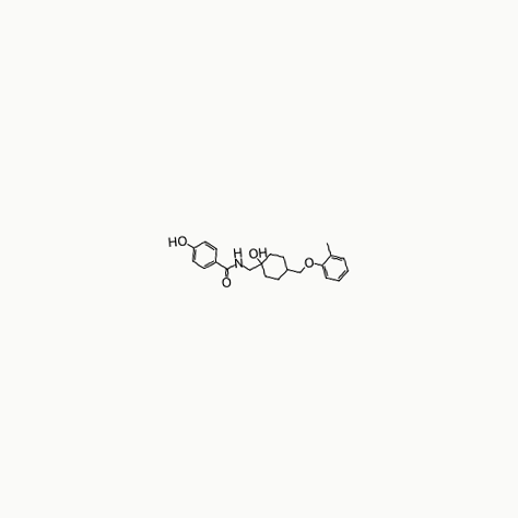 Cc1ccccc1OCC1CCC(O)(CNC(=O)c2ccc(O)cc2)CC1